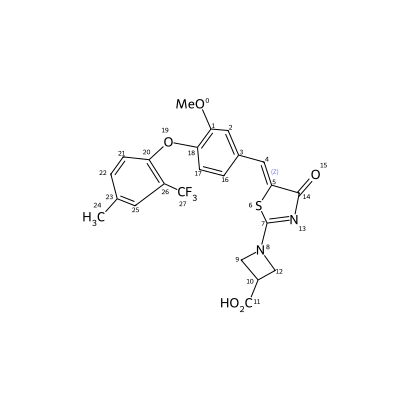 COc1cc(/C=C2\SC(N3CC(C(=O)O)C3)=NC2=O)ccc1Oc1ccc(C)cc1C(F)(F)F